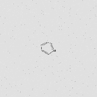 C1=CC=[As]C=C1